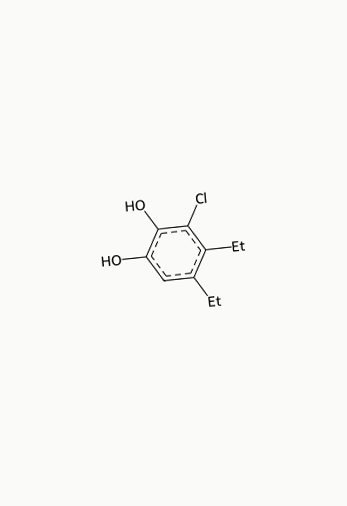 CCc1cc(O)c(O)c(Cl)c1CC